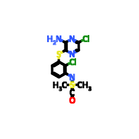 CS(C)(=C=O)=Nc1cccc(Sc2ncc(Cl)nc2N)c1Cl